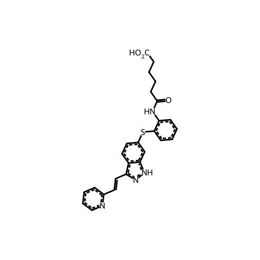 O=C(O)CCCCC(=O)Nc1ccccc1Sc1ccc2c(C=Cc3ccccn3)n[nH]c2c1